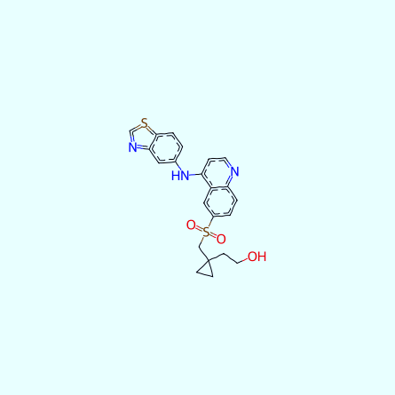 O=S(=O)(CC1(CCO)CC1)c1ccc2nccc(Nc3ccc4scnc4c3)c2c1